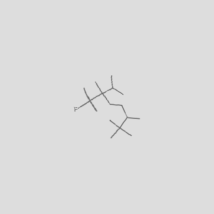 CC(CCC(C)(C(C)C)C(C)(C)F)C(C)(C)C